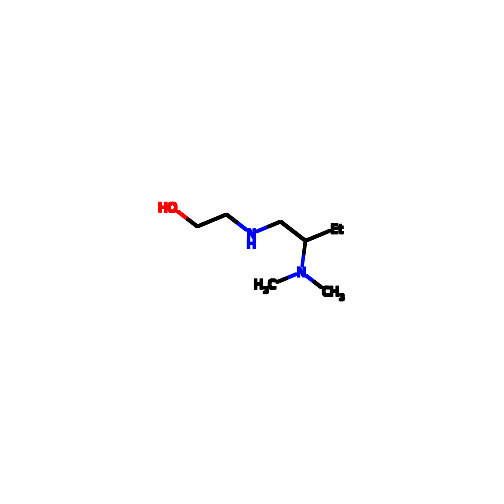 CCC(CNCCO)N(C)C